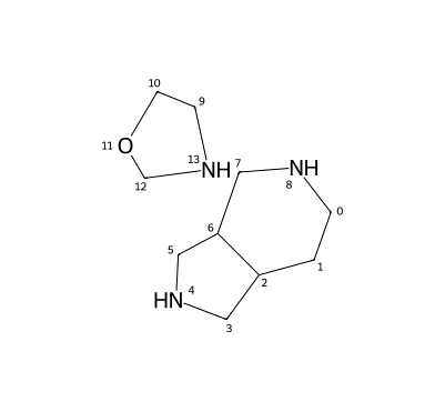 C1CC2CNCC2CN1.C1COCN1